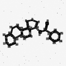 O=C(OC1=CCC=c2c1ccc1c2=CCc2ccccc2-1)c1ccccc1